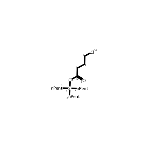 CCCCC[Si](CCCCC)(CCCCC)OC(=O)CCCCl